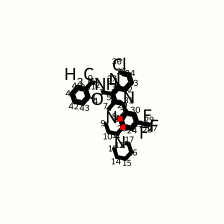 C[C@H](NC(=O)c1c(CN2CCC(N3CCCCC3)CC2)c(-c2cccc(C(F)(F)F)c2)nc2ccc(Cl)nc12)c1ccccc1